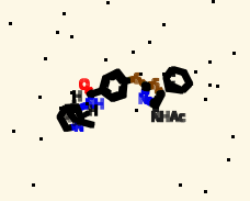 C1CC2CCC1CC2.CC(=O)Nc1csc(Sc2ccc(C(=O)N[C@@H]3C4CCN(CC4)[C@H]3C)cc2)n1